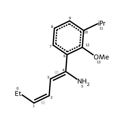 CC/C=C\C=C(/N)c1cccc(C(C)C)c1OC